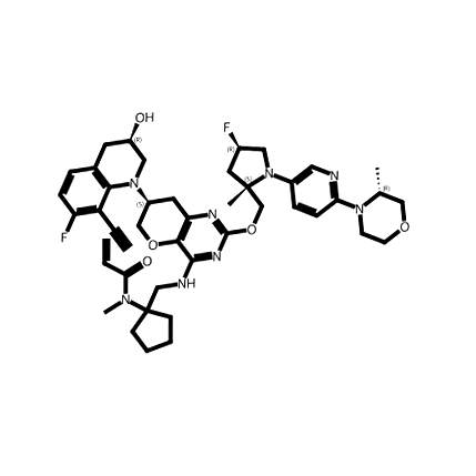 C#Cc1c(F)ccc2c1N([C@@H]1COc3c(nc(OC[C@]4(C)C[C@@H](F)CN4c4ccc(N5CCOC[C@H]5C)nc4)nc3NCC3(N(C)C(=O)C=C)CCCC3)C1)C[C@H](O)C2